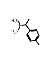 Cc1ccc(C(C)N([SiH3])[SiH3])cc1